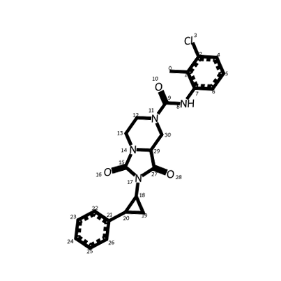 Cc1c(Cl)cccc1NC(=O)N1CCN2C(=O)N(C3CC3c3ccccc3)C(=O)C2C1